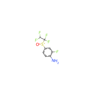 Nc1ccc([S+]([O-])C(F)(F)C(F)F)cc1F